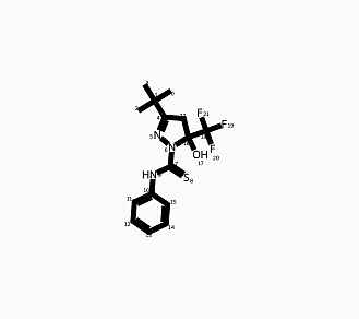 CC(C)(C)C1=NN(C(=S)Nc2ccccc2)C(O)(C(F)(F)F)C1